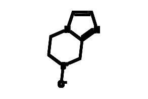 [O-][S+]1CCn2ccnc2C1